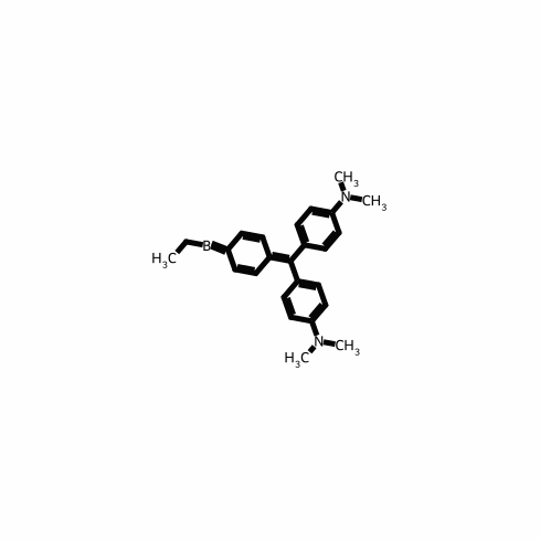 CCB=c1ccc(=C(c2ccc(N(C)C)cc2)c2ccc(N(C)C)cc2)cc1